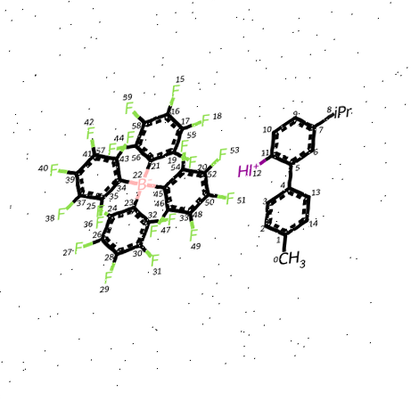 Cc1ccc(-c2cc(C(C)C)ccc2[IH+])cc1.Fc1c(F)c(F)c([B-](c2c(F)c(F)c(F)c(F)c2F)(c2c(F)c(F)c(F)c(F)c2F)c2c(F)c(F)c(F)c(F)c2F)c(F)c1F